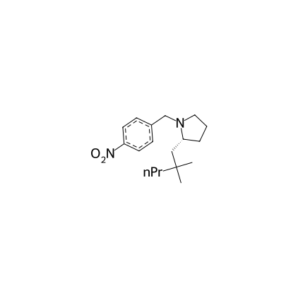 CCCC(C)(C)C[C@H]1CCCN1Cc1ccc([N+](=O)[O-])cc1